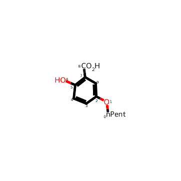 CCCCCOc1ccc(O)c(C(=O)O)c1